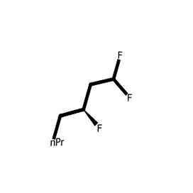 [CH2]CCC[C@H](F)CC(F)F